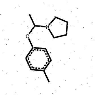 [CH2]c1ccc(OC(C)N2CCCC2)cc1